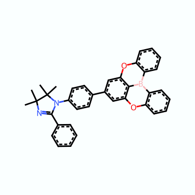 CC1(C)N=C(c2ccccc2)N(c2ccc(-c3cc4c5c(c3)Oc3ccccc3B5c3ccccc3O4)cc2)C1(C)C